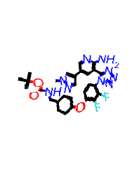 Cn1cc(-c2cnc(N)c(-c3nnnn3-c3ccc(OC4CCC(CNC(=O)OC(C)(C)C)CC4)c(F)c3F)c2)cn1